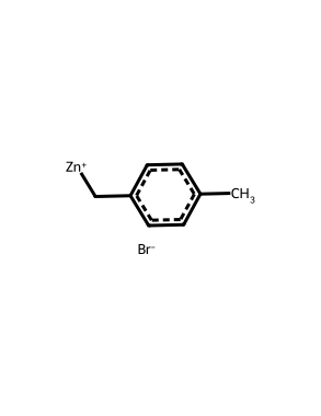 Cc1ccc([CH2][Zn+])cc1.[Br-]